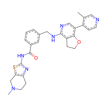 Cc1cnccc1-c1cnc(NCc2cccc(C(=O)Nc3nc4c(s3)CN(C)CC4)c2)c2c1OCC2